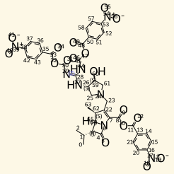 CC(C)[C@H]1C(=O)N2C(C(=O)OC(=O)c3ccc([N+](=O)[O-])cc3)=C(CN3C[C@H](N/C(=N/C(=O)OC(=O)c4ccc([N+](=O)[O-])cc4)NC(=O)OC(=O)c4ccc([N+](=O)[O-])cc4)[C@@H](O)C3)[C@H](C)[C@H]12